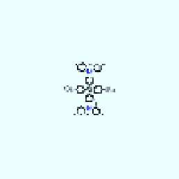 Cc1ccc(N(c2ccc([Si](c3ccc(N(c4ccc(C)cc4C)c4ccc(C)cc4C)cc3)(c3ccc(C(C)(C)C)cc3)c3ccc(C(C)(C)C)cc3)cc2)c2ccc(C)cc2C)c(C)c1